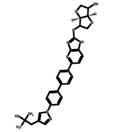 CC(C)(O)Cc1cnn(-c2ccc(-c3ccc(-c4ccc5[nH]c(OC6CO[C@@H]7C(O)CO[C@H]67)nc5n4)cc3)cc2)c1